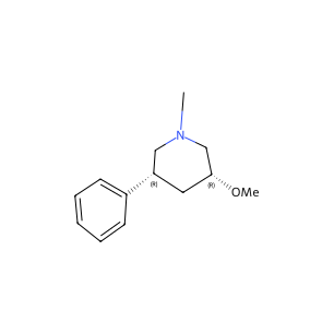 CO[C@@H]1C[C@H](c2ccccc2)CN(C)C1